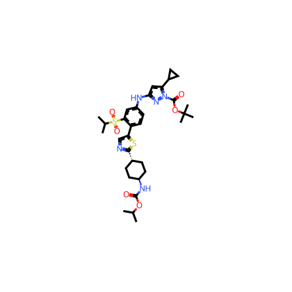 CC(C)OC(=O)N[C@H]1CC[C@H](c2ncc(-c3ccc(Nc4cc(C5CC5)n(C(=O)OC(C)(C)C)n4)cc3S(=O)(=O)C(C)C)s2)CC1